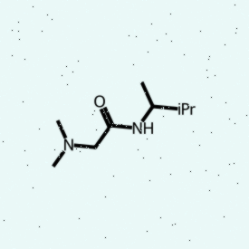 CC(C)C(C)NC(=O)CN(C)C